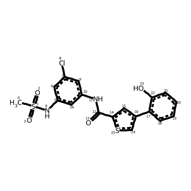 CS(=O)(=O)Nc1cc(Cl)cc(NC(=O)c2cc(-c3ccccc3O)cs2)c1